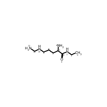 CCNC(=O)C(N)CCCNCN